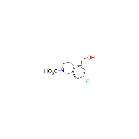 O=C(O)N1CCc2c(CO)cc(F)cc2C1